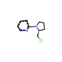 ClC[C@@H]1CCCN1c1ccccn1